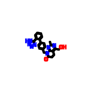 Cc1nc(CO)c2c(n1)N(Cc1ccc(-c3ccccc3-c3nnn[nH]3)cc1)C(=O)CC2